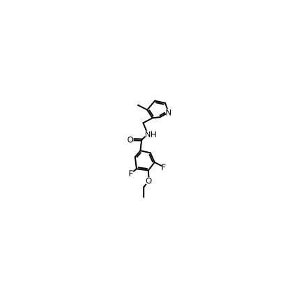 CCOc1c(F)cc(C(=O)NCc2cnccc2C)cc1F